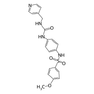 COc1ccc(S(=O)(=O)Nc2ccc(NC(=O)NCc3ccncc3)cc2)cc1